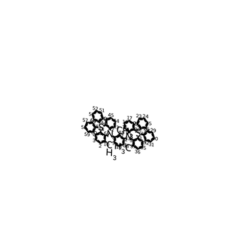 Cc1cccc2c1N(c1cccc(N3c4ccccc4S(c4ccccc4)(c4ccccc4)c4cccc(C)c43)c1C)c1ccccc1S2(c1ccccc1)c1ccccc1